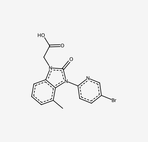 Cc1cccc2c1n(-c1ccc(Br)cn1)c(=O)n2CC(=O)O